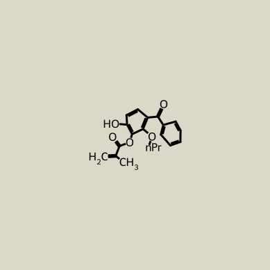 C=C(C)C(=O)Oc1c(O)ccc(C(=O)c2ccccc2)c1OCCC